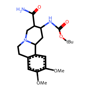 COc1cc2c(cc1OC)C1CC(NC(=O)OC(C)(C)C)C(C(N)=O)CN1CC2